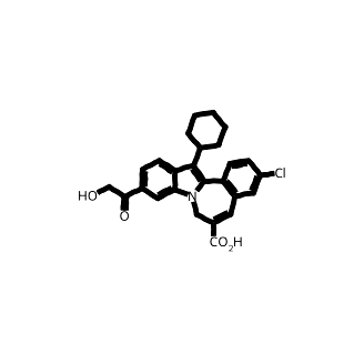 O=C(O)C1=Cc2cc(Cl)ccc2-c2c(C3CCCCC3)c3ccc(C(=O)CO)cc3n2C1